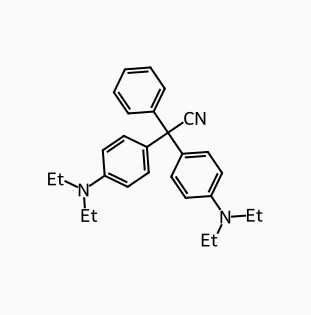 CCN(CC)c1ccc(C(C#N)(c2ccccc2)c2ccc(N(CC)CC)cc2)cc1